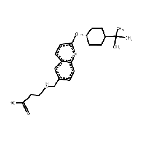 CC(C)(C)[C@H]1CC[C@H](Oc2ccc3cc(CNCCC(=O)O)ccc3n2)CC1